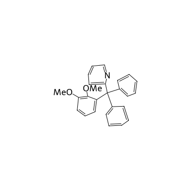 COc1cccc(C(c2ccccc2)(c2ccccc2)c2ccccn2)c1OC